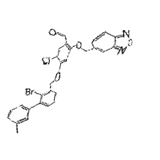 Cc1cccc(-c2cccc(COc3cc(OCc4ccc5nonc5c4)c(C=O)cc3Cl)c2Br)c1